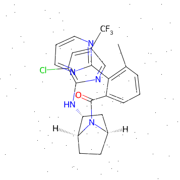 Cc1cccc(C(=O)N2[C@@H]3CC[C@H]2[C@H](Nc2ncc(C(F)(F)F)cc2Cl)C3)c1-c1ncccn1